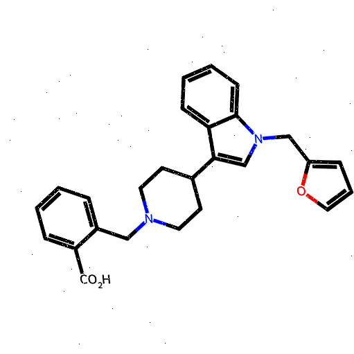 O=C(O)c1ccccc1CN1CCC(c2cn(Cc3ccco3)c3ccccc23)CC1